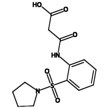 O=C(O)CC(=O)Nc1ccccc1S(=O)(=O)N1CCCC1